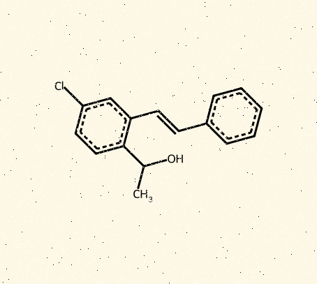 CC(O)c1ccc(Cl)cc1C=Cc1ccccc1